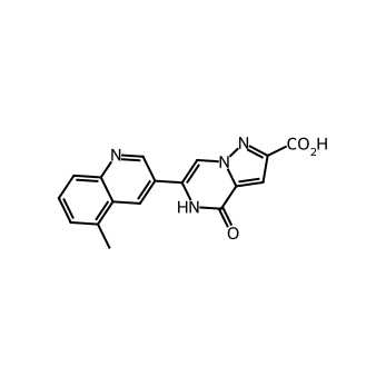 Cc1cccc2ncc(-c3cn4nc(C(=O)O)cc4c(=O)[nH]3)cc12